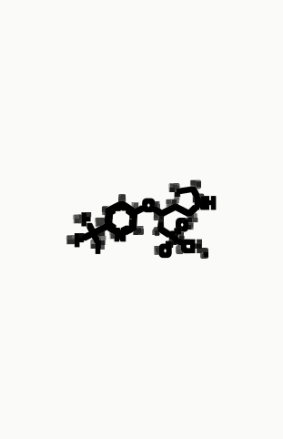 CS(=O)(=O)C[C@@H](Oc1ccc(C(F)(F)F)nc1)[C@@H]1CCNC1